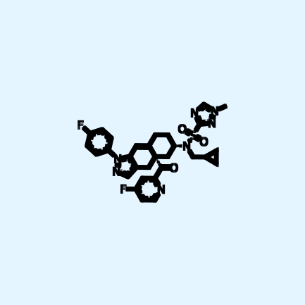 Cn1cnc(S(=O)(=O)N(CC2CC2)[C@H]2CCC3=Cc4c(cnn4-c4ccc(F)cc4)C[C@]3(C(=O)c3cc(F)ccn3)C2)n1